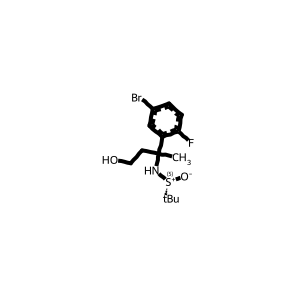 CC(CCO)(N[S@+]([O-])C(C)(C)C)c1cc(Br)ccc1F